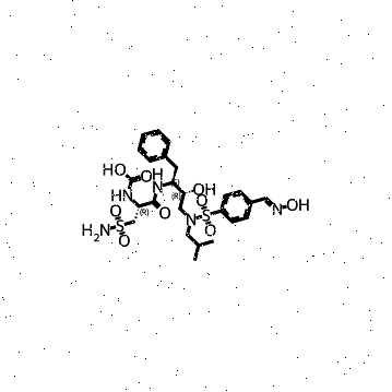 CC(C)CN(C[C@@H](O)[C@H](Cc1ccccc1)NC(=O)[C@H](CS(N)(=O)=O)NC(=O)O)S(=O)(=O)c1ccc(C=NO)cc1